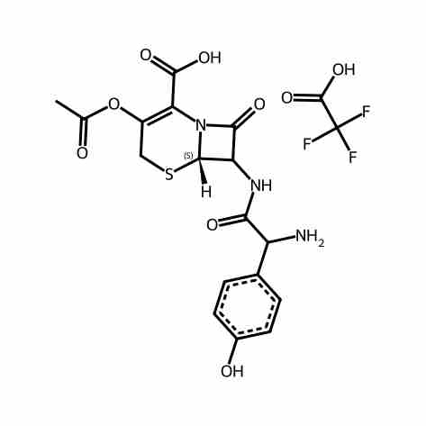 CC(=O)OC1=C(C(=O)O)N2C(=O)C(NC(=O)C(N)c3ccc(O)cc3)[C@@H]2SC1.O=C(O)C(F)(F)F